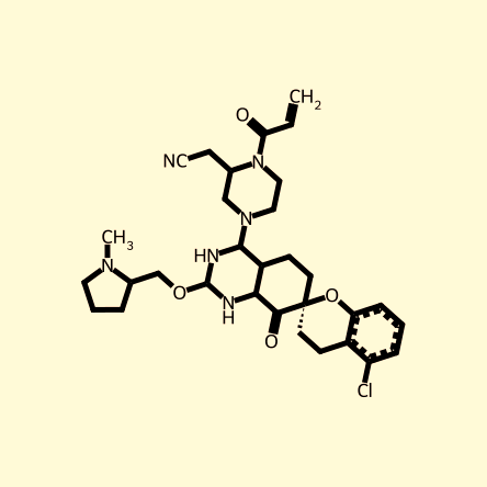 C=CC(=O)N1CCN(C2NC(OCC3CCCN3C)NC3C(=O)[C@@]4(CCc5c(Cl)cccc5O4)CCC32)CC1CC#N